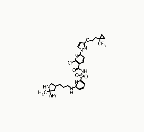 CCCC1(C)CC(CCCNc2cccc(S(=O)(=O)NC(=O)c3ccc(-n4ccc(OCCC5(C(F)(F)F)CC5)n4)nc3Cl)n2)CN1